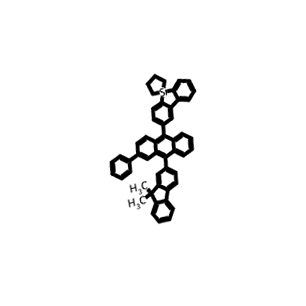 CC1(C)c2ccccc2-c2ccc(-c3c4ccccc4c(-c4ccc5c(c4)-c4ccccc4[Si]54CCCC4)c4ccc(-c5ccccc5)cc34)cc21